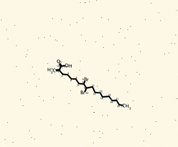 C=C(CCCCCC(Br)C(Br)CCCCCCCCC)C(=O)O